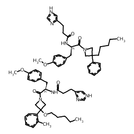 CCCCCC1(c2ccccc2)CN(C(=O)[C@@H](Cc2ccc(OC)cc2)NC(=O)CCc2c[nH]cn2)C1.CCCCCOC1(c2ccccc2C)CN(C(=O)[C@@H](Cc2ccc(OC)cc2)NC(=O)CCc2c[nH]cn2)C1